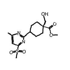 COC(=O)C1(CO)CCC(c2nc(C)cc(S(C)(=O)=O)n2)CC1